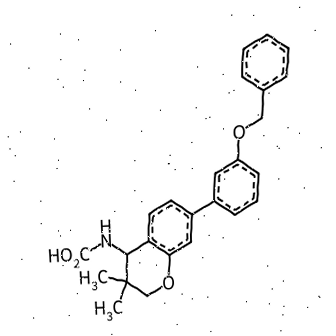 CC1(C)COc2cc(-c3cccc(OCc4ccccc4)c3)ccc2C1NC(=O)O